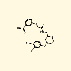 O=C(CSc1cccc(C(=O)O)c1)NCC1CN(Cc2ccc(Cl)c(Cl)c2)CCO1